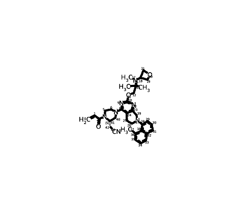 C=CC(=O)N1CCN(c2nc(OCC(C)(C)N(C)C3COC3)nc3c2CCN(c2cccc4cccc(C)c24)C3)C[C@@H]1CC#N